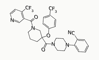 N#Cc1ccccc1N1CCN(C(=O)C2(Oc3ccc(C(F)(F)F)cc3)CCCN(C(=O)c3cnccc3C(F)(F)F)C2)CC1